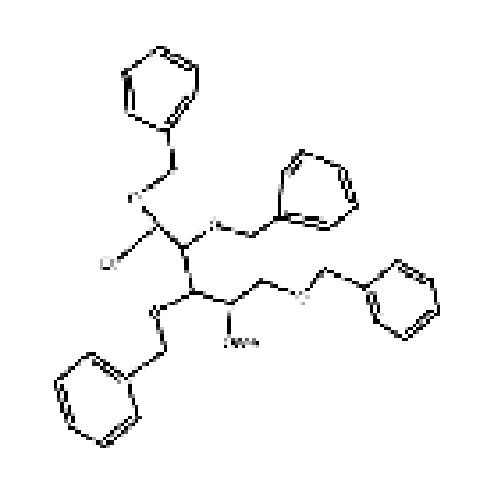 CCC(OCc1ccccc1)C(OCc1ccccc1)C(OCc1ccccc1)C(COCc1ccccc1)OC